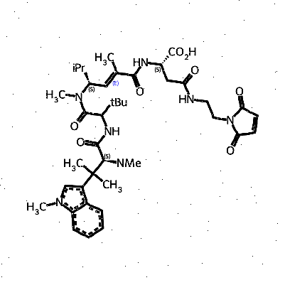 CN[C@H](C(=O)NC(C(=O)N(C)[C@H](/C=C(\C)C(=O)N[C@@H](CC(=O)NCCN1C(=O)C=CC1=O)C(=O)O)C(C)C)C(C)(C)C)C(C)(C)c1cn(C)c2ccccc12